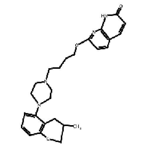 CC1COc2cccc(N3CCN(CCCCOc4ccc5ccc(=O)[nH]c5n4)CC3)c2C1